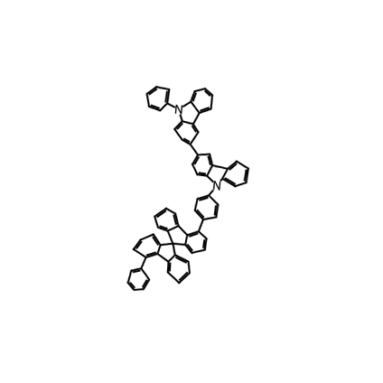 c1ccc(-c2cccc3c2-c2ccccc2C32c3ccccc3-c3c(-c4ccc(-n5c6ccccc6c6cc(-c7ccc8c(c7)c7ccccc7n8-c7ccccc7)ccc65)cc4)cccc32)cc1